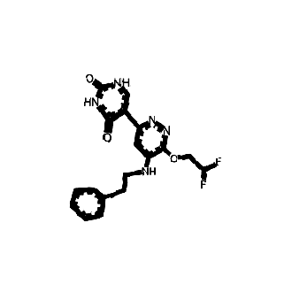 O=c1[nH]cc(-c2cc(NCCc3ccccc3)c(OCC(F)F)nn2)c(=O)[nH]1